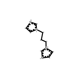 c1cn(CCCn2ccnc2)cn1